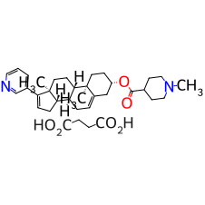 CN1CCC(C(=O)O[C@H]2CC[C@@]3(C)C(=CC[C@@H]4[C@@H]3CC[C@]3(C)C(c5cccnc5)=CC[C@@H]43)C2)CC1.O=C(O)CCC(=O)O